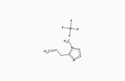 C=CCc1nccn1C.F[B-](F)(F)F